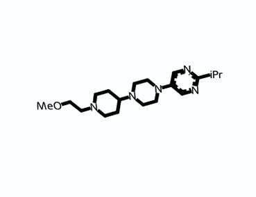 COCCN1CCC(N2CCN(c3cnc(C(C)C)nc3)CC2)CC1